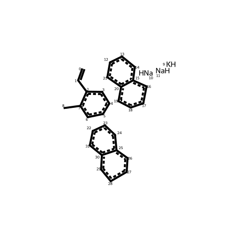 C=Cc1ccccc1C.[KH].[NaH].[NaH].c1ccc2ccccc2c1.c1ccc2ccccc2c1